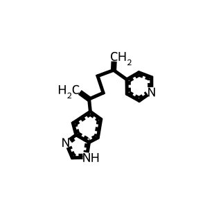 C=C(CCC(=C)c1ccc2[nH]cnc2c1)c1ccncc1